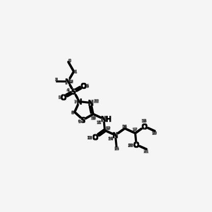 CCN(C)S(=O)(=O)N1CSC(NC(=O)N(C)CC(OC)OC)=N1